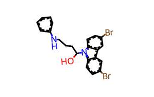 OC(CCCNc1ccccc1)n1c2ccc(Br)cc2c2cc(Br)ccc21